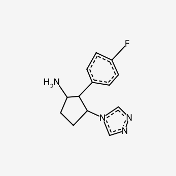 NC1CCC(n2cnnc2)C1c1ccc(F)cc1